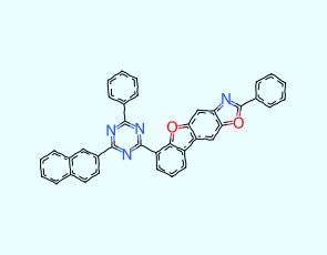 c1ccc(-c2nc(-c3ccc4ccccc4c3)nc(-c3cccc4c3oc3cc5nc(-c6ccccc6)oc5cc34)n2)cc1